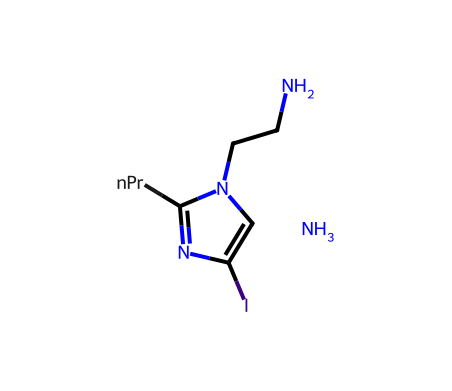 CCCc1nc(I)cn1CCN.N